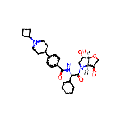 O=C(N[C@H](C(=O)N1C[C@H](O)[C@H]2OCC(=O)[C@H]21)C1CCCCC1)c1ccc(C2CCN(C3CCC3)CC2)cc1